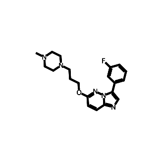 CN1CCN(CCCOc2ccc3ncc(-c4cccc(F)c4)n3n2)CC1